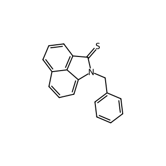 S=C1c2cccc3cccc(c23)N1Cc1ccccc1